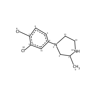 CC1CN(c2ccc(Cl)c(Cl)c2)CCN1